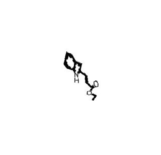 CCOC(=O)/C=C/c1cc2ccccc2[nH]1